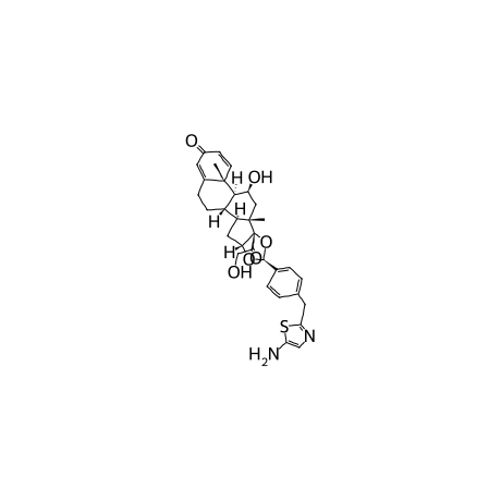 C[C@]12C=CC(=O)C=C1CC[C@@H]1[C@@H]2[C@@H](O)C[C@@]2(C)[C@H]1C[C@H]1O[C@H](c3ccc(Cc4ncc(N)s4)cc3)O[C@]12C(=O)CO